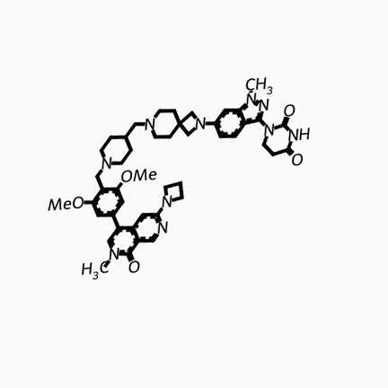 COc1cc(-c2cn(C)c(=O)c3cnc(N4CCC4)cc23)cc(OC)c1CN1CCC(CN2CCC3(CC2)CN(c2ccc4c(N5CCC(=O)NC5=O)nn(C)c4c2)C3)CC1